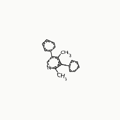 Cc1ncc(-c2ccccc2)c(C)c1-c1ccccc1